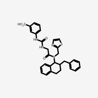 O=C(NCC(=O)N(Cc1nccs1)C1c2ccccc2CCC1Cc1ccccc1)Nc1cccc(C(=O)O)c1